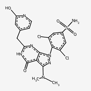 CN(C)c1nn(-c2c(Cl)cc(S(N)(=O)=O)cc2Cl)c2nc(Cc3ccnc(O)c3)[nH]c(=O)c12